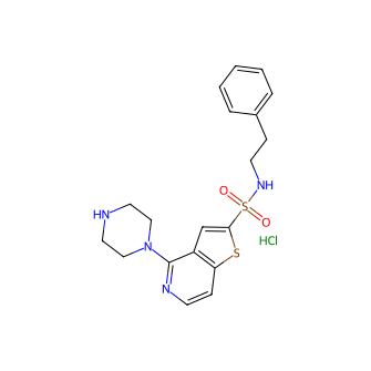 Cl.O=S(=O)(NCCc1ccccc1)c1cc2c(N3CCNCC3)nccc2s1